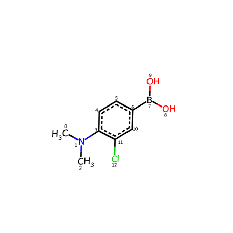 CN(C)c1ccc(B(O)O)cc1Cl